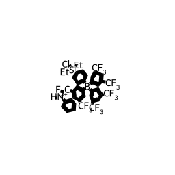 CC[Si](Cl)(CC)c1ccc([B-](c2cc(C(F)(F)F)cc(C(F)(F)F)c2)(c2cc(C(F)(F)F)cc(C(F)(F)F)c2)c2cc(C(F)(F)F)cc(C(F)(F)F)c2)cc1.C[NH+](C)c1ccccc1